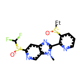 CC[S+]([O-])c1cccnc1-c1nc2cc([S+]([O-])C(F)F)ncc2n1C